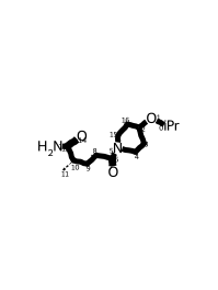 CC(C)OC1CCN(C(=O)[CH]C[C@H](C)C(N)=O)CC1